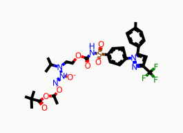 Cc1ccc(-c2cc(C(F)(F)F)nn2-c2ccc(S(=O)(=O)NC(=O)OCCN(C(C)C)[N+]([O-])=NOC(C)OC(=O)C(C)(C)C)cc2)cc1